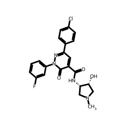 CN1C[C@@H](O)[C@@H](NC(=O)c2cc(-c3ccc(Cl)cc3)nn(-c3cccc(F)c3)c2=O)C1